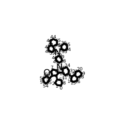 c1ccc(-c2c3c(cc4c2c2cc(-c5cccc6ccccc56)ccc2n4-c2ccc(N(c4ccccc4)c4cccc5ccccc45)cc2)oc2ccccc23)cc1